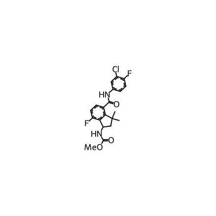 COC(=O)NC1CC(C)(C)c2c(C(=O)Nc3ccc(F)c(Cl)c3)ccc(F)c21